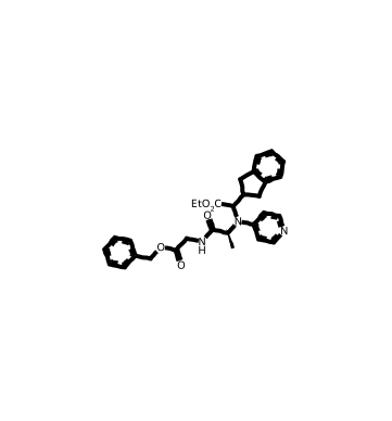 CCOC(=O)C(C1Cc2ccccc2C1)N(c1ccncc1)[C@@H](C)C(=O)NCC(=O)OCc1ccccc1